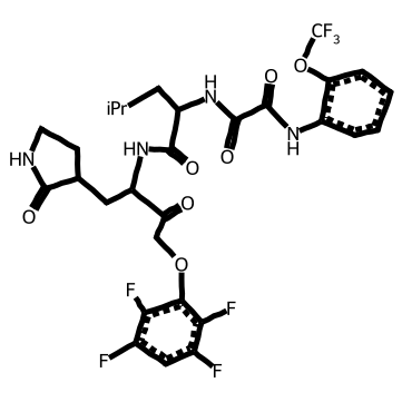 CC(C)CC(NC(=O)C(=O)Nc1ccccc1OC(F)(F)F)C(=O)NC(CC1CCNC1=O)C(=O)COc1c(F)c(F)cc(F)c1F